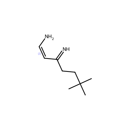 CC(C)(C)CCC(=N)/C=C\N